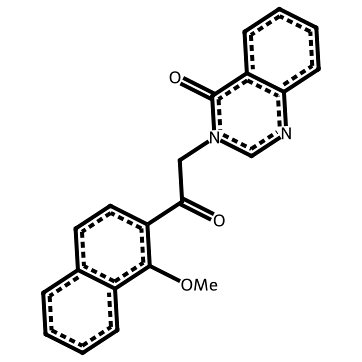 COc1c(C(=O)Cn2cnc3ccccc3c2=O)ccc2ccccc12